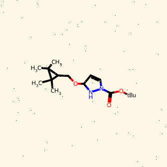 CC(C)(C)OC(=O)N1C=CC(OCC2C(C)(C)C2(C)C)N1